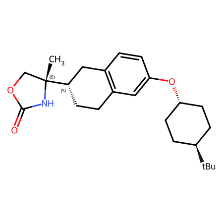 CC(C)(C)[C@H]1CC[C@H](Oc2ccc3c(c2)CC[C@H]([C@@]2(C)COC(=O)N2)C3)CC1